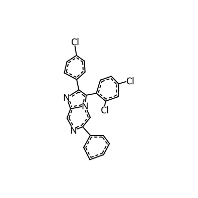 Clc1ccc(-c2nc3cnc(-c4ccccc4)cn3c2-c2ccc(Cl)cc2Cl)cc1